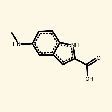 CNc1ccc2[nH]c(C(=O)O)cc2c1